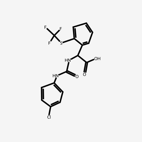 O=C(Nc1ccc(Cl)cc1)NC(C(=O)O)c1ccccc1SC(F)(F)F